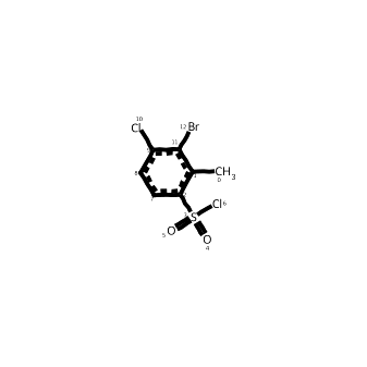 Cc1c(S(=O)(=O)Cl)ccc(Cl)c1Br